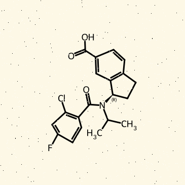 CC(C)N(C(=O)c1ccc(F)cc1Cl)[C@@H]1CCc2ccc(C(=O)O)cc21